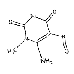 CN1C(=O)[N]C(=O)C(N=O)=C1N